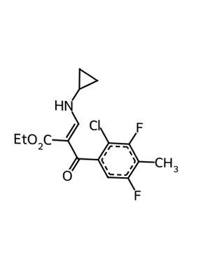 CCOC(=O)C(=CNC1CC1)C(=O)c1cc(F)c(C)c(F)c1Cl